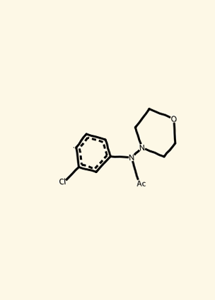 CC(=O)N(c1cc[c]c(Cl)c1)N1CCOCC1